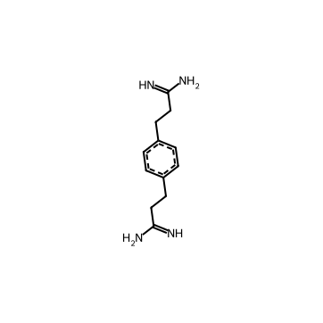 N=C(N)CCc1ccc(CCC(=N)N)cc1